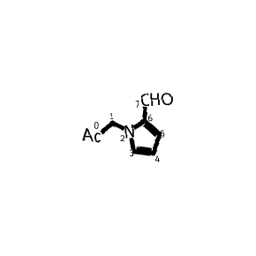 CC(=O)Cn1cccc1C=O